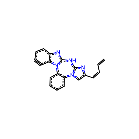 C=C/C=C\c1cn2c(n1)[nH]c1nc3ccc#cc3n1c1ccccc12